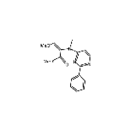 COC=C(C(=O)OC)N(C)c1ccnc(-c2ccccc2)n1